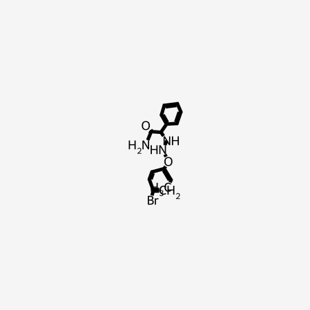 C=C(Br)/C=C\C(=C/C)ONNC(C(N)=O)c1ccccc1